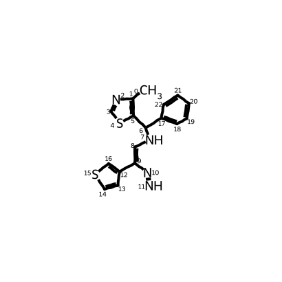 Cc1ncsc1C(N/C=C(\N=N)c1ccsc1)c1ccccc1